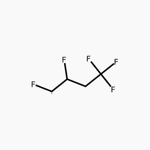 F[CH]C(F)CC(F)(F)F